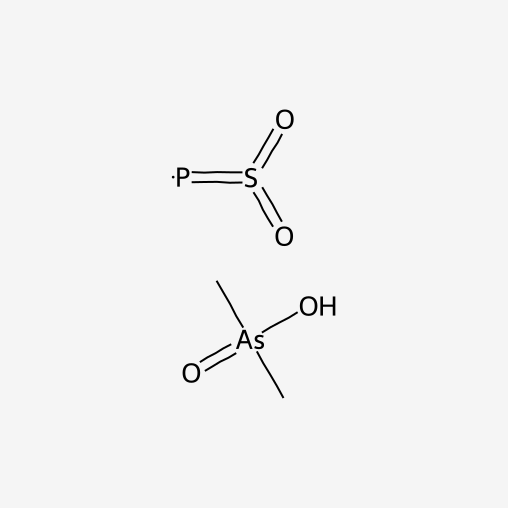 C[As](C)(=O)O.O=S(=O)=[P]